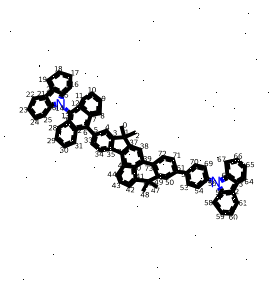 CC1(C)c2cc(-c3c4ccccc4c(-n4c5ccccc5c5ccccc54)c4ccccc34)ccc2-c2c1cc1c3c(cccc23)C(C)(C)c2cc(-c3ccc(-n4c5ccccc5c5ccccc54)cc3)ccc2-1